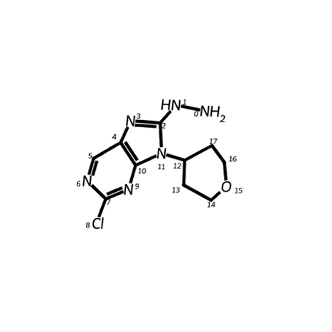 NNc1nc2cnc(Cl)nc2n1C1CCOCC1